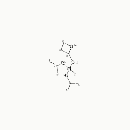 CC(C)O[Si](C)(OC(C)C)OC1CCO1